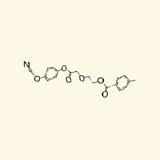 Cc1ccc(C(=O)OCCOCC(=O)Oc2ccc(OC#N)cc2)cc1